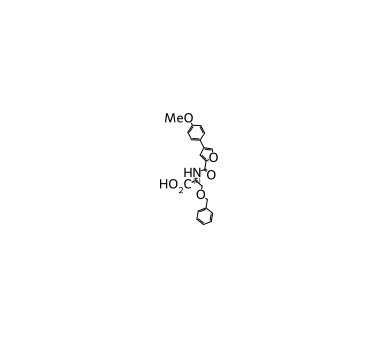 COc1ccc(-c2coc(C(=O)N[C@@H](COCc3ccccc3)C(=O)O)c2)cc1